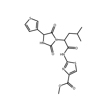 COC(=O)c1csc(NC(=O)C(CC(C)C)N2C(=O)NC(c3ccsc3)C2=O)n1